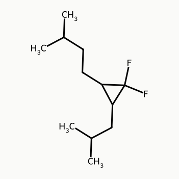 CC(C)CCC1C(CC(C)C)C1(F)F